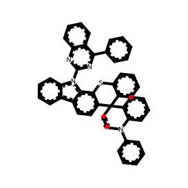 c1ccc(-c2nc(-n3c4ccccc4c4ccc5c(c43)Sc3ccccc3C53c4ccccc4N(c4ccccc4)c4ccccc43)nc3ccccc23)cc1